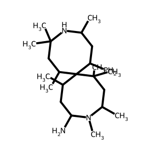 CC1CC(P)C2(C(C)CC(N)N(C)C(C)CC2(C)C)C(C)CC(C)(C)N1